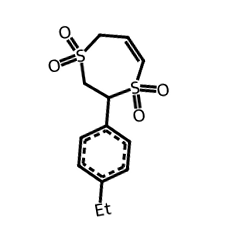 CCc1ccc(C2CS(=O)(=O)CC=CS2(=O)=O)cc1